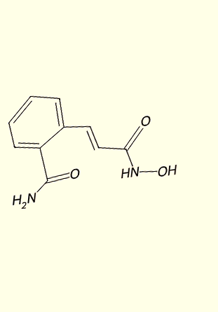 NC(=O)c1ccccc1/C=C/C(=O)NO